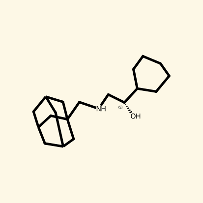 O[C@H](CNCC12CC3CC(CC(C3)C1)C2)C1CCCCC1